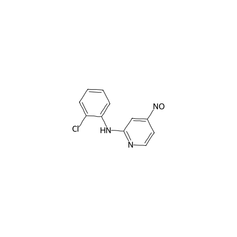 O=Nc1ccnc(Nc2ccccc2Cl)c1